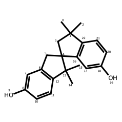 CC1(C)CC2(Cc3cc(O)ccc3C2(C)C)c2cc(O)ccc21